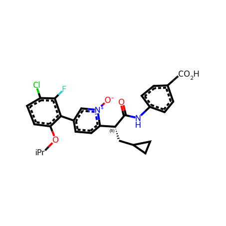 CC(C)Oc1ccc(Cl)c(F)c1-c1ccc([C@@H](CC2CC2)C(=O)Nc2ccc(C(=O)O)cc2)[n+]([O-])c1